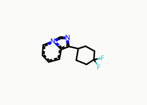 FC1(F)CCC(c2ncn3ccccc23)CC1